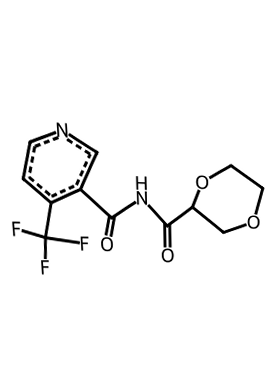 O=C(NC(=O)C1COCCO1)c1cnccc1C(F)(F)F